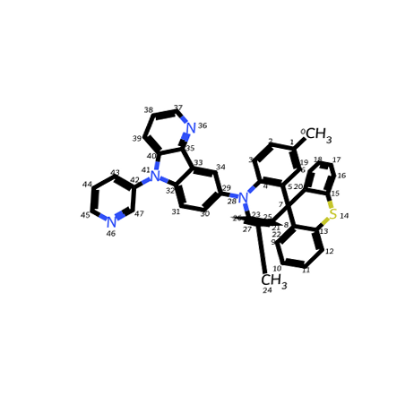 Cc1ccc2c(c1)C1(c3ccccc3Sc3ccccc31)c1cc(C)ccc1N2c1ccc2c(c1)c1ncccc1n2-c1cccnc1